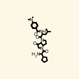 CC(C)CC(NC(=O)c1ccc(N(C)C)cc1)C(=O)N1CCC2C1C(=O)CN2C(=O)C(N)C1CCCC1